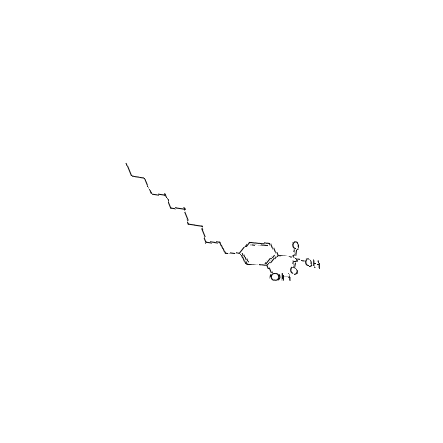 CCCCCCCCCCCCc1ccc(S(=O)(=O)O)c(O)c1